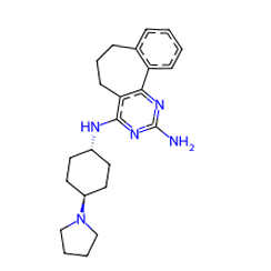 Nc1nc(N[C@H]2CC[C@H](N3CCCC3)CC2)c2c(n1)-c1ccccc1CCC2